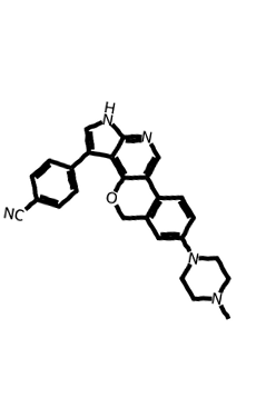 CN1CCN(c2ccc3c(c2)COc2c-3cnc3[nH]cc(-c4ccc(C#N)cc4)c23)CC1